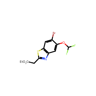 CCOC(=O)Cc1nc2cc(OC(F)F)c(Br)cc2s1